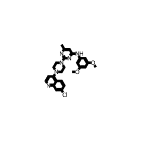 COc1cc(Nc2cc(C)nc(N3CCN(c4ccnc5cc(Cl)ccc45)CC3)n2)cc(OC)c1